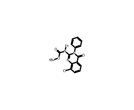 CCN(C(=O)OC(C)(C)C)c1nc2c(Cl)cccc2c(=O)n1-c1ccccc1